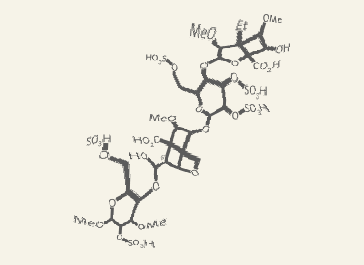 CCC12C(OC)C(OC3C(COS(=O)(=O)O)OC(OC4C(OC)C5(C(=O)O)[C@H](C(O)OC6C(COS(=O)(=O)O)OC(OC)C(OS(=O)(=O)O)C6OC)C6OCC465)C(OS(=O)(=O)O)C3OS(=O)(=O)O)OC1(C(=O)O)C(O)C2OC